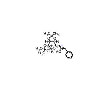 CC1(C)O[C@H]2[C@@H](O1)[C@@H](/C=[N+](\O)Cc1ccccc1)O[C@@H]1OC(C)(C)O[C@@H]12